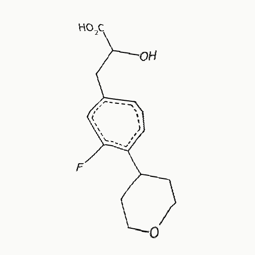 O=C(O)C(O)Cc1ccc(C2CCOCC2)c(F)c1